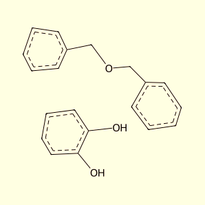 Oc1ccccc1O.c1ccc(COCc2ccccc2)cc1